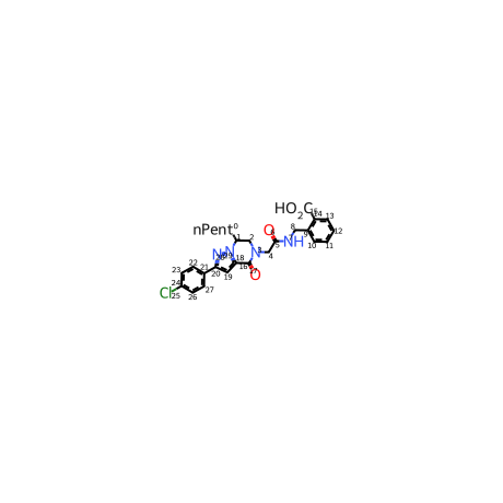 CCCCCC1CN(CC(=O)NCc2ccccc2C(=O)O)C(=O)c2cc(-c3ccc(Cl)cc3)nn21